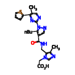 CCCCc1c(C(=O)NCc2c(C)ncn2CC(=O)O)cnn1-c1ncc(C)c(-c2cccs2)n1